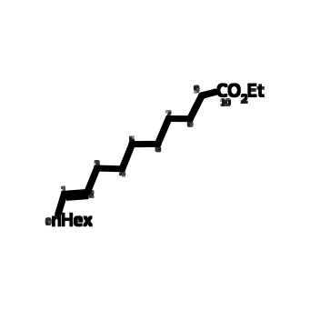 CCCCCCC=CCCCCCCCC(=O)OCC